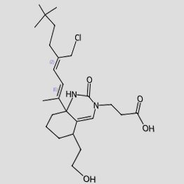 C/C(=C\C=C(/CCl)CCC(C)(C)C)C12CCCC(CCO)C1=CN(CCC(=O)O)C(=O)N2